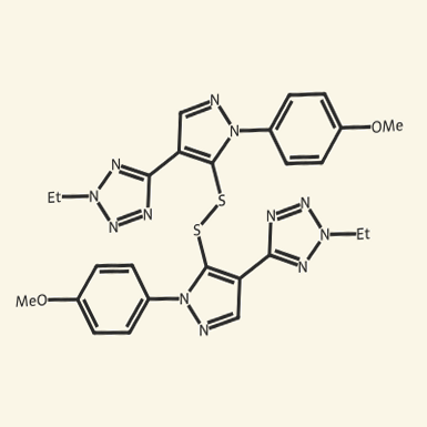 CCn1nnc(-c2cnn(-c3ccc(OC)cc3)c2SSc2c(-c3nnn(CC)n3)cnn2-c2ccc(OC)cc2)n1